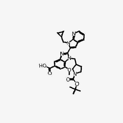 COc1cc(C(=O)O)cc2nc(-c3cc4cccnc4n3CC3CC3)n(CC3CCN(C(=O)OC(C)(C)C)C3)c12